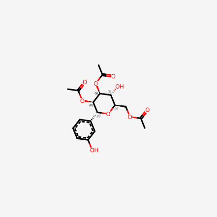 CC(=O)OC[C@H]1O[C@H](c2cccc(O)c2)[C@@H](OC(C)=O)[C@@H](OC(C)=O)[C@@H]1O